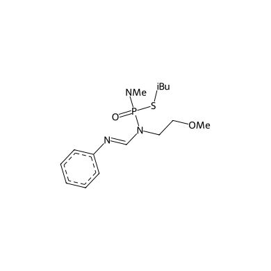 CCC(C)SP(=O)(NC)N(C=Nc1ccccc1)CCOC